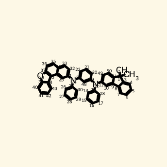 CC1(C)c2ccccc2-c2cc(N(c3ccccc3)c3cccc(N(c4ccccc4)c4ccc5ccc6oc7ccccc7c6c5c4)c3)ccc21